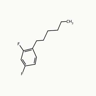 CCCCCCc1ccc(F)cc1F